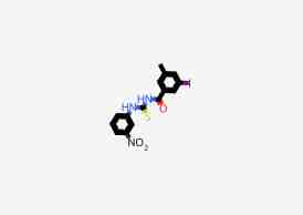 Cc1cc(I)cc(C(=O)NC(=S)Nc2cccc([N+](=O)[O-])c2)c1